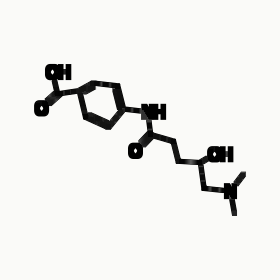 CN(C)CC(O)CCC(=O)Nc1ccc(C(=O)O)cc1